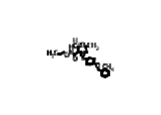 C=CCONC(=O)C1C(C)OC(C)CN1Sc1ccc(OCc2ccccc2C)cc1